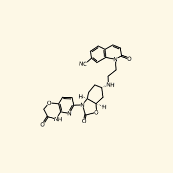 N#Cc1ccc2ccc(=O)n(CCN[C@H]3CC[C@H]4[C@@H](C3)OC(=O)N4c3ccc4c(n3)NC(=O)CO4)c2c1